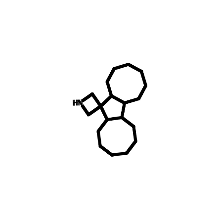 C1CCCC2C(CC1)C1CCCCCCC1C21CNC1